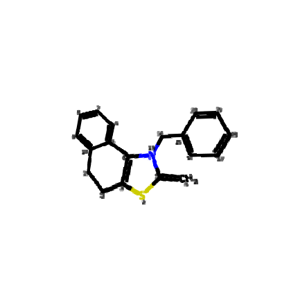 C=C1SC2=C(c3ccccc3CC2)N1Cc1ccccc1